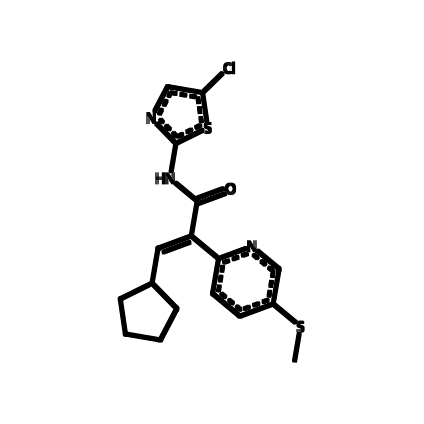 CSc1ccc(/C(=C\C2CCCC2)C(=O)Nc2ncc(Cl)s2)nc1